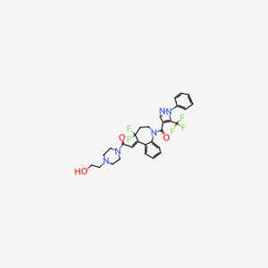 O=C(/C=C1/c2ccccc2N(C(=O)c2cnn(-c3ccccc3)c2C(F)(F)F)CCC1(F)F)N1CCN(CCO)CC1